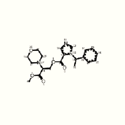 COC(=O)C(COC(=O)c1cncn1C(C)c1ccccc1)N1CCOCC1